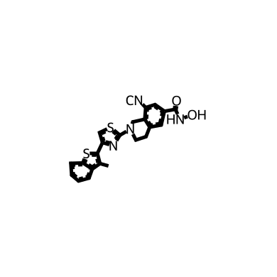 [C-]#[N+]c1cc(C(=O)NO)cc2c1CN(c1nc(-c3sc4ccccc4c3C)cs1)CC2